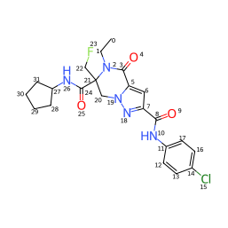 CCN1C(=O)c2cc(C(=O)Nc3ccc(Cl)cc3)nn2CC1(CF)C(=O)NC1CCCC1